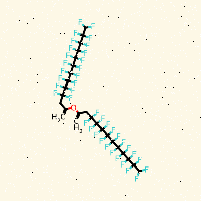 C=C(CC(F)(F)C(F)(F)C(F)(F)C(F)(F)C(F)(F)C(F)(F)C(F)(F)C(F)(F)C(F)(F)C(F)F)OC(=C)CC(F)(F)C(F)(F)C(F)(F)C(F)(F)C(F)(F)C(F)(F)C(F)(F)C(F)(F)C(F)(F)C(F)F